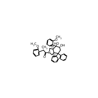 COc1ccccc1[C@H](C)C(=O)N1C[C@@H]2[C@H](C1)C(c1ccccc1)(c1ccccc1)C[C@H](O)[C@@]2(O)c1ccccc1OC